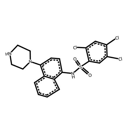 O=S(=O)(Nc1ccc(N2CCNCC2)c2ccccc12)c1cc(Cl)c(Cl)cc1Cl